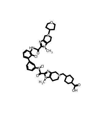 Cn1c(C(=O)Nc2cccc(-c3cccc(N(Cl)C(=O)c4nc5c(n4C)CCN(CC4CCC(C(=O)O)CC4)C5)c3)c2Cl)nc2c1CCN(C1CCOCC1)C2